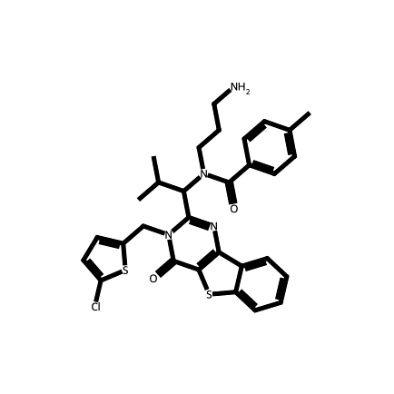 Cc1ccc(C(=O)N(CCCN)C(c2nc3c(sc4ccccc43)c(=O)n2Cc2ccc(Cl)s2)C(C)C)cc1